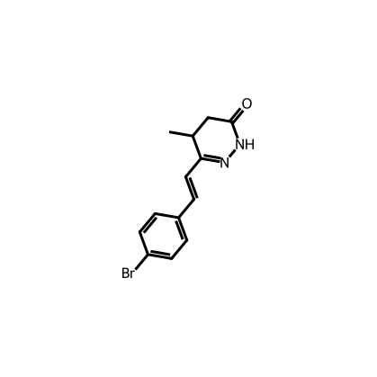 CC1CC(=O)NN=C1C=Cc1ccc(Br)cc1